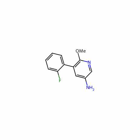 COc1ncc(N)cc1-c1ccccc1F